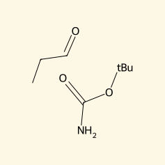 CC(C)(C)OC(N)=O.CCC=O